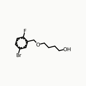 OCCCCOCc1cc(Br)ccc1F